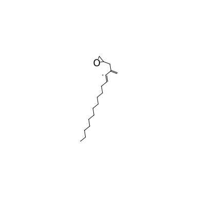 C=C(/[C]=C/CCCCCCCCCCC)CC1CO1